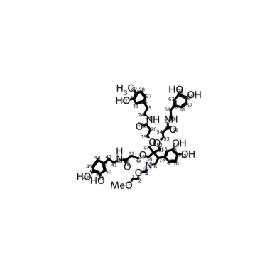 COCCO/C=N/CC(c1ccc(O)c(O)c1)C(COCCC(=O)NCCc1ccc(C)c(O)c1)(COCCC(=O)NCCc1ccc(O)c(O)c1)COCCC(=O)NCCc1ccc(O)c(O)c1